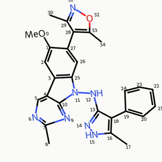 COc1cc2c3cnc(C)nc3n(Nc3n[nH]c(C)c3-c3ccccc3)c2cc1-c1c(C)noc1C